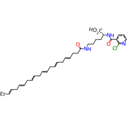 CCC=CCC=CCC=CCC=CCC=CCC=CCCC(=O)NCCCCC(NC(=O)c1cccnc1Cl)C(=O)O